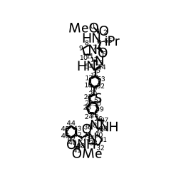 COC(=O)N[C@H](C(=O)N1CCC[C@H]1c1ncc(-c2ccc(-c3cc4ccc(-c5c[nH]c([C@@H]6CCCN6C(=O)[C@H](NC(=O)OC)c6ccccc6)n5)cc4s3)cc2)[nH]1)C(C)C